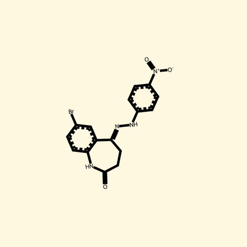 O=C1CCC(=NNc2ccc([N+](=O)[O-])cc2)c2cc(Br)ccc2N1